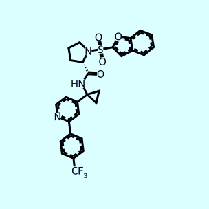 O=C(NC1(c2ccnc(-c3ccc(C(F)(F)F)cc3)c2)CC1)[C@@H]1CCCN1S(=O)(=O)c1cc2ccccc2o1